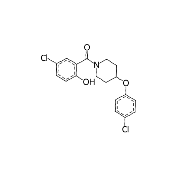 O=C(c1cc(Cl)ccc1O)N1CCC(Oc2ccc(Cl)cc2)CC1